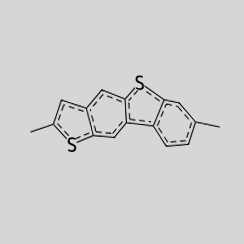 Cc1ccc2c(c1)sc1cc3cc(C)sc3cc12